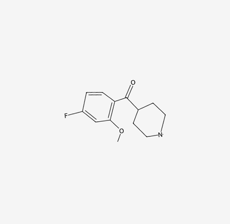 COc1cc(F)ccc1C(=O)C1CC[N]CC1